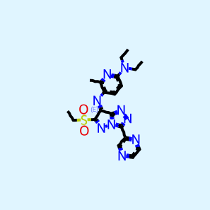 CCN(CC)c1ccc(/N=C2/C(S(=O)(=O)CC)=Nn3c2nnc3-c2cnccn2)c(C)n1